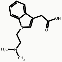 CN(C)CCn1cc(CC(=O)O)c2ccccc21